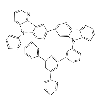 c1ccc(-c2cc(-c3ccccc3)cc(-c3cccc(-n4c5ccccc5c5ccc(-c6ccc7c(c6)c6ncccc6n7-c6ccccc6)cc54)c3)c2)cc1